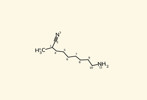 CC(C#N)CCCCCCCN